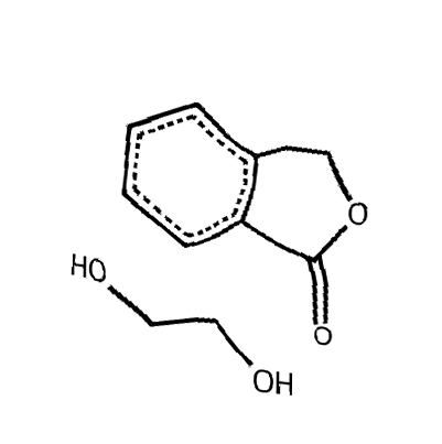 O=C1OCc2ccccc21.OCCO